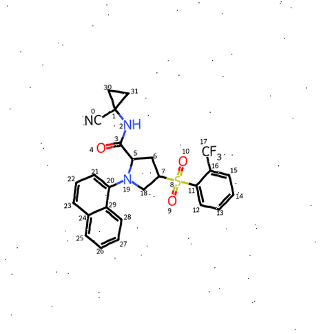 N#CC1(NC(=O)C2CC(S(=O)(=O)c3ccccc3C(F)(F)F)CN2c2cccc3ccccc23)CC1